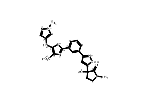 CN1CCC(O)(c2cc(-c3cccc(-c4nc(C(=O)O)c(Nc5cnn(C)c5)s4)c3)no2)C1=O